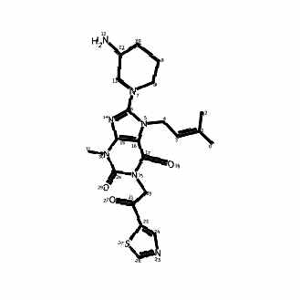 CC(C)=CCn1c(N2CCCC(N)C2)nc2c1c(=O)n(CC(=O)c1cncs1)c(=O)n2C